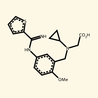 COc1ccc(NC(=N)c2cccs2)cc1CN(CC(=O)O)C1CC1